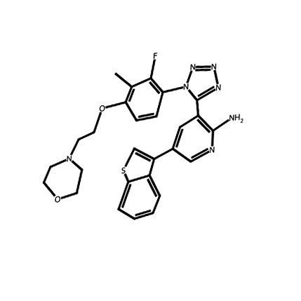 Cc1c(OCCN2CCOCC2)ccc(-n2nnnc2-c2cc(-c3csc4ccccc34)cnc2N)c1F